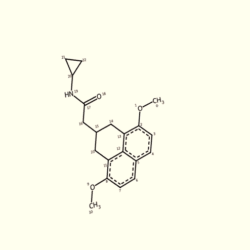 COc1ccc2ccc(OC)c3c2c1CC(CC(=O)NC1CC1)C3